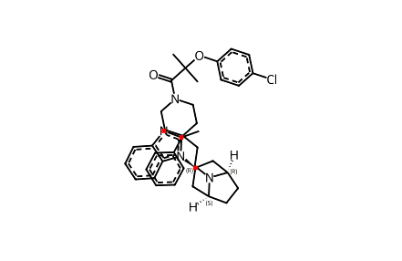 Cc1nc2ccccc2n1[C@H]1C[C@H]2CC[C@@H](C1)N2CCC1(c2ccccc2)CCN(C(=O)C(C)(C)Oc2ccc(Cl)cc2)CC1